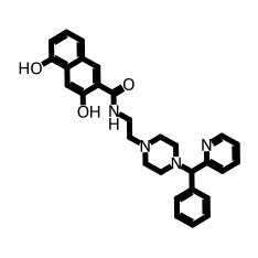 O=C(NCCN1CCN(C(c2ccccc2)c2ccccn2)CC1)c1cc2cccc(O)c2cc1O